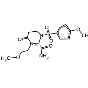 COCCN1C(=O)CCN(S(=O)(=O)c2ccc(OC)cc2)[C@@H]1C(N)=O